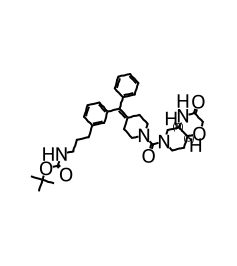 CC(C)(C)OC(=O)NCCCc1cccc(C(=C2CCN(C(=O)N3CC[C@@H]4OCC(=O)N[C@@H]4C3)CC2)c2ccccc2)c1